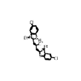 CCN1/C(=C\C(C)=C\c2sc3ccc(Cl)cc3[n+]2CC)Sc2ccc(Cl)cc21